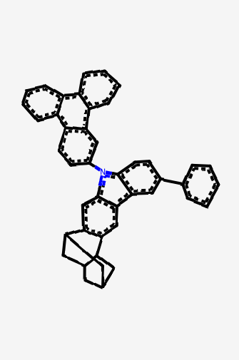 c1ccc(-c2ccc3c(c2)c2cc4c(cc2n3-c2ccc3c5ccccc5c5ccccc5c3c2)C2CC3CC(C2)C4C3)cc1